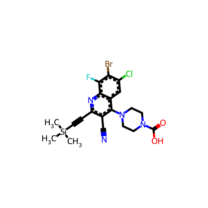 C[Si](C)(C)C#Cc1nc2c(F)c(Br)c(Cl)cc2c(N2CCN(C(=O)O)CC2)c1C#N